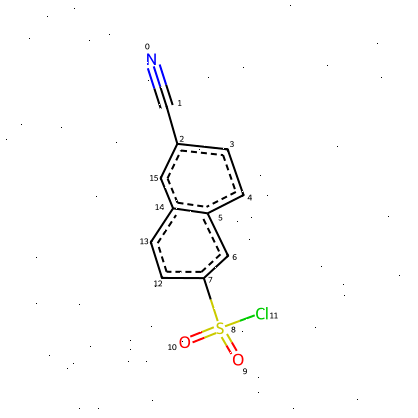 N#Cc1ccc2cc(S(=O)(=O)Cl)ccc2c1